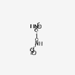 C=CC(=O)Nc1ccc(C#Cc2ccc(NCCCCOC(=O)C=C)cc2)cc1